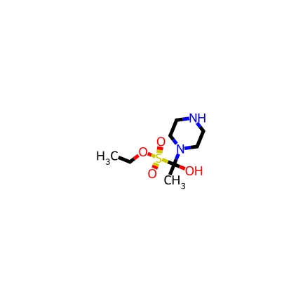 CCOS(=O)(=O)C(C)(O)N1CCNCC1